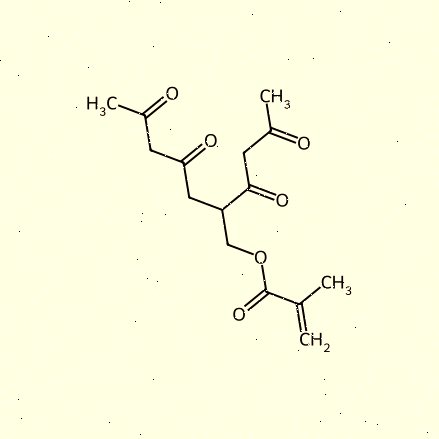 C=C(C)C(=O)OCC(CC(=O)CC(C)=O)C(=O)CC(C)=O